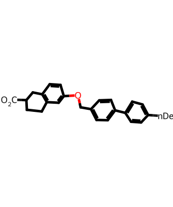 CCCCCCCCCCc1ccc(-c2ccc(COc3ccc4c(c3)CCC(C(=O)O)C4)cc2)cc1